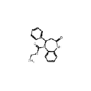 CCOC(=O)N1c2ccccc2NC(=O)CC1c1ccccc1